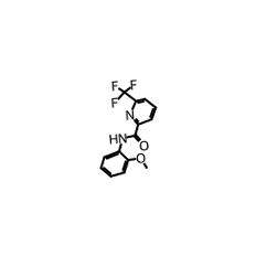 COc1ccccc1NC(=O)c1cccc(C(F)(F)F)n1